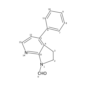 O=CN1CCc2c(-c3ccccc3)ccnc21